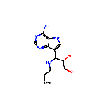 CSCCNC(c1c[nH]c2c(N)ncnc12)C(O)CO